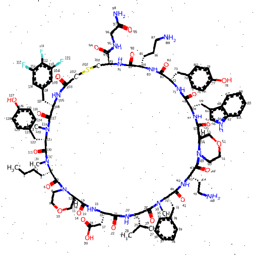 CCCC[C@H]1C(=O)N2CCOC[C@@H]2C(=O)N[C@@H](CC(=O)O)C(=O)N[C@@H](C(C)C)C(=O)N(C)[C@@H](Cc2ccccc2)C(=O)N[C@@H](CCN)C(=O)N2CCOC[C@@H]2C(=O)N[C@@H](Cc2c[nH]c3ccccc23)C(=O)N[C@@H](Cc2ccc(O)cc2)C(=O)N[C@@H](CCCN)C(=O)N[C@H](C(=O)NCC(N)=O)CSCC(=O)N[C@@H](Cc2cc(F)c(F)c(F)c2)C(=O)N(C)[C@@H](Cc2ccc(O)cc2)C(=O)N1C